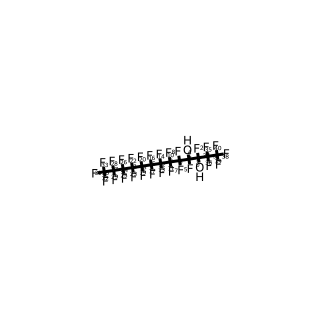 OC(F)(C(O)(F)C(F)(F)C(F)(F)C(F)(F)C(F)(F)C(F)(F)C(F)(F)C(F)(F)C(F)(F)C(F)(F)F)C(F)(F)C(F)(F)F